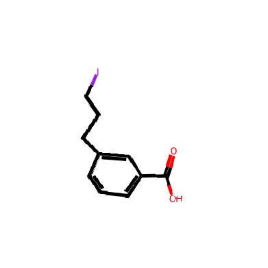 O=C(O)c1cccc(CCCI)c1